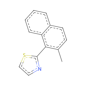 Cc1ccc2ccccc2c1-c1nccs1